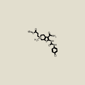 CC(C)(C)OC(=O)CC[N+]1(C)CCc2c(sc(NC(=O)Nc3ccc(Cl)cc3)c2C(N)=O)C1